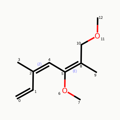 C=C/C(C)=C\C(OC)=C(\C)COC